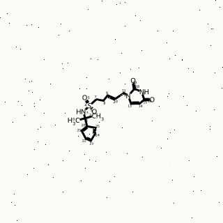 CC(C)(NS(=O)(=O)CC/C=C/Cn1ccc(=O)[nH]c1=O)c1ccccc1